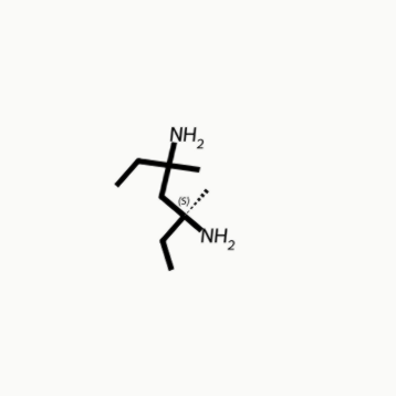 CCC(C)(N)C[C@@](C)(N)CC